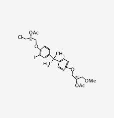 COC[C@H](COc1ccc(C(C)(C)c2ccc(OC[C@@H](CCl)OC(C)=O)c(I)c2)cc1)OC(C)=O